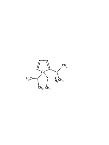 CC(C)[C]1=CC=[CH][Ge]1([CH](C)C)[CH](C)C